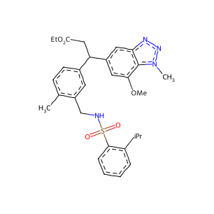 CCOC(=O)CC(c1ccc(C)c(CNS(=O)(=O)c2ccccc2C(C)C)c1)c1cc(OC)c2c(c1)nnn2C